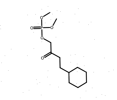 COP(=O)(OC)OCC(=O)CCC1CCCCC1